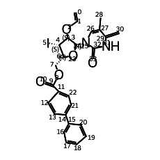 C=CO[C@@H]1[C@@H](I)[C@@H](COC(=O)c2ccc(-c3ccccc3)cc2)O[C@H]1N1C=C(C)C(=C)NC1=O